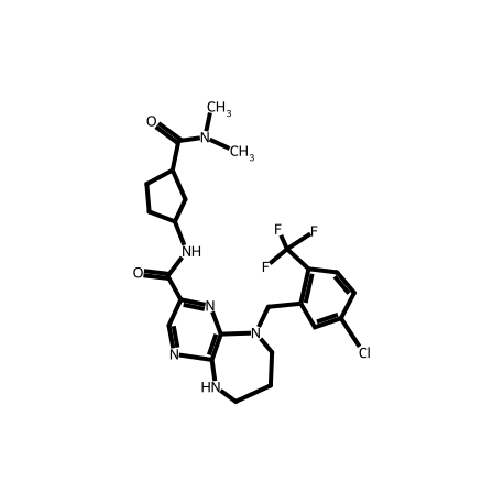 CN(C)C(=O)C1CCC(NC(=O)c2cnc3c(n2)N(Cc2cc(Cl)ccc2C(F)(F)F)CCCN3)C1